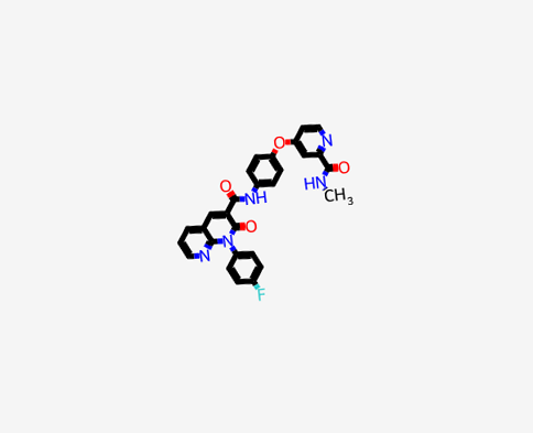 CNC(=O)c1cc(Oc2ccc(NC(=O)c3cc4cccnc4n(-c4ccc(F)cc4)c3=O)cc2)ccn1